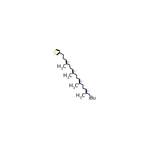 CCC(C)C/C(C)=C/CC/C(C)=C/CC/C(C)=C/CC/C(C)=C/CCc1ccsc1